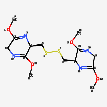 CCOC1=N[C@@H](CSSC[C@@H]2N=C(OCC)CN=C2OCC)C(OCC)=NC1